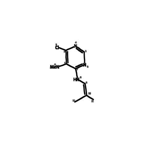 CNc1c(Cl)ncnc1NC=C(C)C